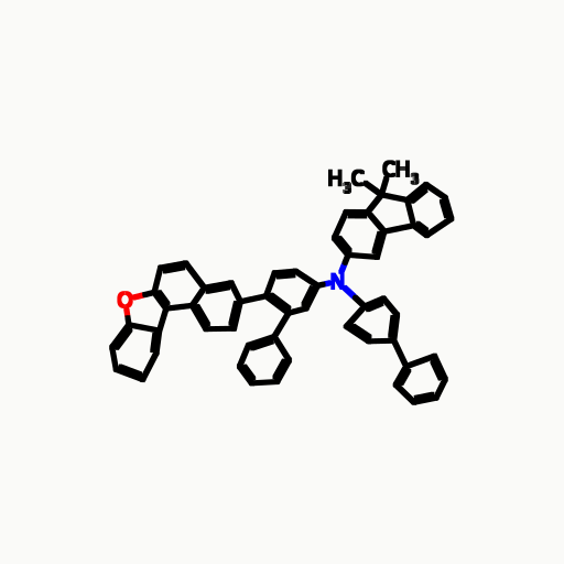 CC1(C)c2ccccc2-c2cc(N(c3ccc(-c4ccccc4)cc3)c3ccc(-c4ccc5c(ccc6oc7ccccc7c65)c4)c(-c4ccccc4)c3)ccc21